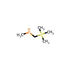 CPCS(C)(C)C